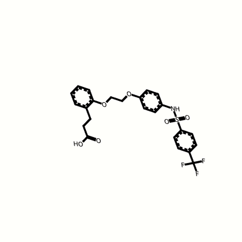 O=C(O)CCc1ccccc1OCCOc1ccc(NS(=O)(=O)c2ccc(C(F)(F)F)cc2)cc1